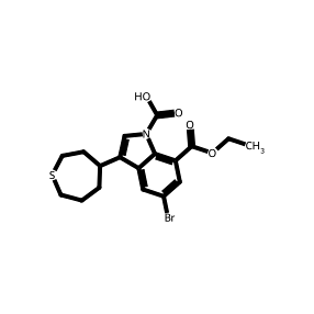 CCOC(=O)c1cc(Br)cc2c(C3CCCSCC3)cn(C(=O)O)c12